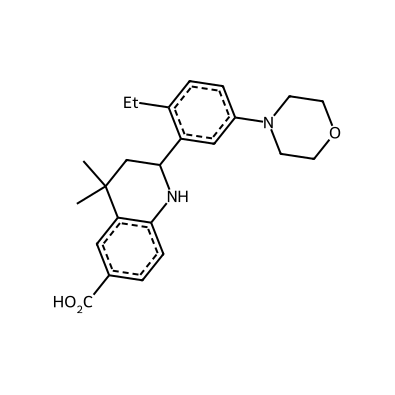 CCc1ccc(N2CCOCC2)cc1C1CC(C)(C)c2cc(C(=O)O)ccc2N1